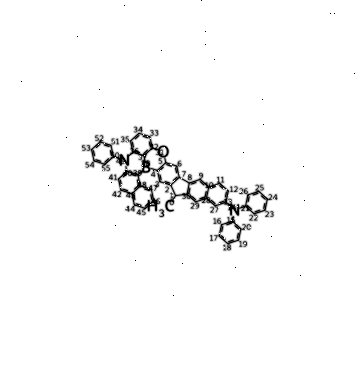 CC1c2cc3c(cc2-c2cc4ccc(N(c5ccccc5)c5ccccc5)cc4cc21)Oc1cccc2c1B3c1c(ccc3ccccc13)N2c1ccccc1